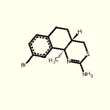 C[C@@]12N=C(N)SC[C@H]1CCc1ccc(Br)cc12